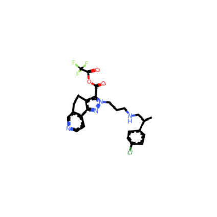 CC(CNCCCn1nc2c(c1C(=O)OC(=O)C(F)(F)F)CCc1cnccc1-2)c1ccc(Cl)cc1